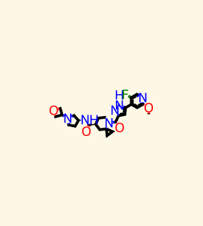 COc1cc(-c2cc(C(=O)N3CC[C@H](C(=O)N[C@@H]4CCN(C5COC5)C4)CC34CC4)n[nH]2)c(F)cn1